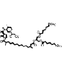 CCCCCCCCCCCCCCCC(=O)OCC(COC(=O)CCCCCCCCCCCCCCC)OC(=O)CC(C)CCCCCCCCCCC(C)C(=O)n1ccc2c(N(C)[C@H]3CN(C(=O)CC#N)CC[C@H]3C)ncnc21